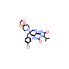 CC(C)C1C(=O)NC2=C3N=CC(Cc4ccc(Cl)cc4)(N4CCC5(CC4)OCCO5)C=C3NC(=O)N21